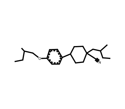 CCC(C)COc1ccc(C2CCC(C#N)(CC(C)CC)CC2)cc1